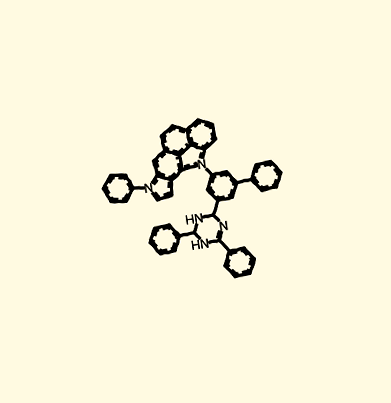 c1ccc(C2=NC(c3cc(-c4ccccc4)cc(-n4c5cccc6ccc7cc8c(ccn8-c8ccccc8)c4c7c65)c3)NC(c3ccccc3)N2)cc1